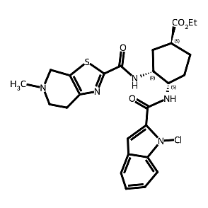 CCOC(=O)[C@H]1CC[C@H](NC(=O)c2cc3ccccc3n2Cl)[C@H](NC(=O)c2nc3c(s2)CN(C)CC3)C1